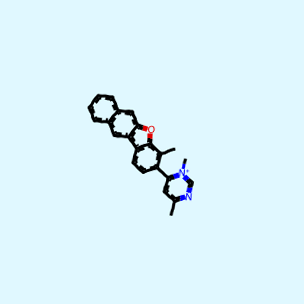 Cc1cc(-c2ccc3c(oc4cc5ccccc5cc43)c2C)[n+](C)cn1